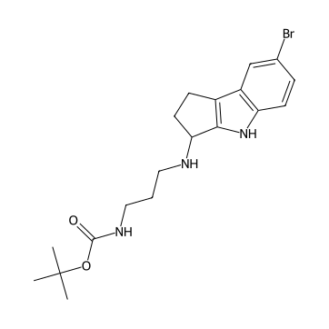 CC(C)(C)OC(=O)NCCCNC1CCc2c1[nH]c1ccc(Br)cc21